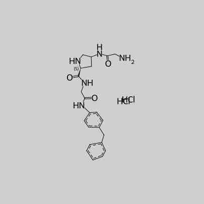 Cl.Cl.NCC(=O)NC1CN[C@H](C(=O)NCC(=O)Nc2ccc(Cc3ccccc3)cc2)C1